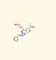 O=[N+]([O-])c1ccc2nc(NCc3ccccc3)nc(OCCO)c2c1